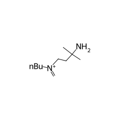 C=[N+](CCCC)CCC(C)(C)N